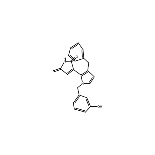 C=C1C=C(c2c(Cc3ccccc3)ncn2Cc2cccc(O)c2)C(=O)N1